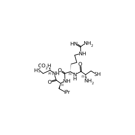 CC(C)C[C@H](NC(=O)[C@H](CCCNC(=N)N)NC(=O)[C@H](N)CS)C(=O)N[C@@H](CS)C(=O)O